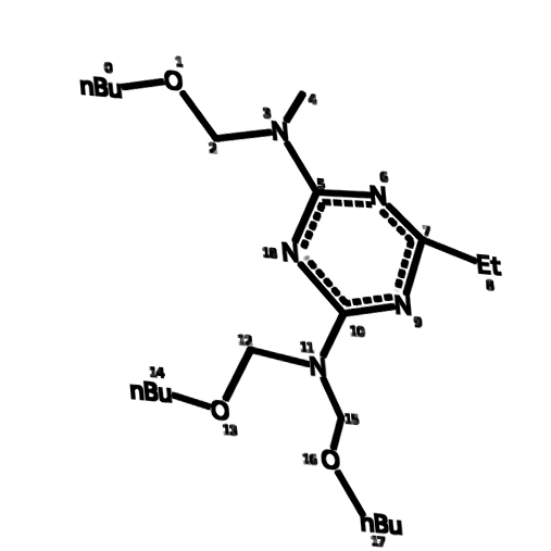 CCCCOCN(C)c1nc(CC)nc(N(COCCCC)COCCCC)n1